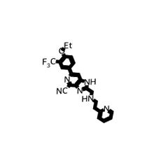 CCOc1ccc(-c2cc3[nH]c(CNCCc4ccccn4)nc3c(C#N)n2)cc1C(F)(F)F